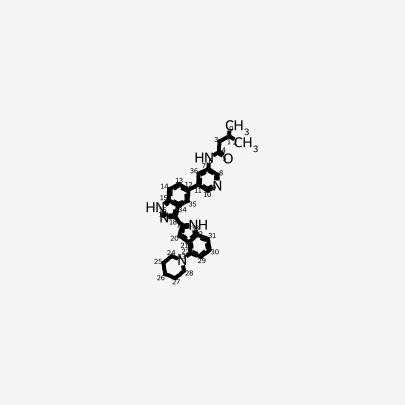 CC(C)CC(=O)Nc1cncc(-c2ccc3[nH]nc(-c4cc5c(N6CCCCC6)cccc5[nH]4)c3c2)c1